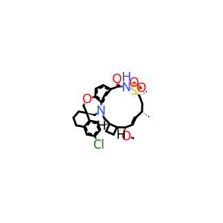 CO[C@H]1/C=C/[C@@H](C)C[C@@H](C)S(=O)(=O)NC(=O)c2ccc3c(c2)N(C[C@@H]2CC[C@H]21)C[C@@]1(CCCc2cc(Cl)ccc21)CO3